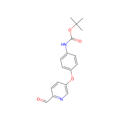 CC(C)(C)OC(=O)Nc1ccc(Oc2ccc(C=O)nc2)cc1